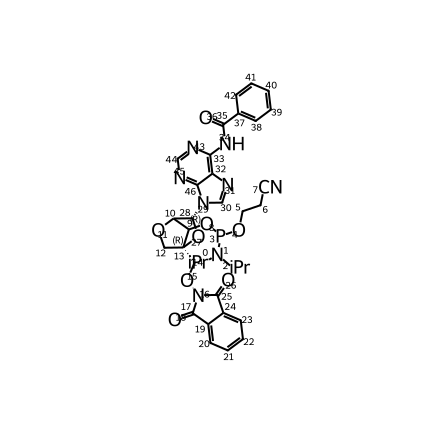 CC(C)N(C(C)C)P(OCCC#N)OC1C2OC[C@]1(CON1C(=O)c3ccccc3C1=O)O[C@H]2n1cnc2c(NC(=O)c3ccccc3)ncnc21